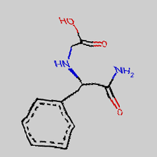 NC(=O)[C@H](NC(=O)O)c1ccccc1